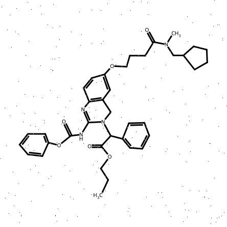 CCCOC(=O)C(c1ccccc1)N1Cc2cc(OCCCC(=O)N(C)CC3CCCC3)ccc2N=C1NC(=O)Oc1ccccc1